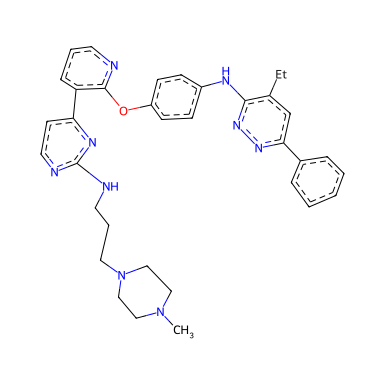 CCc1cc(-c2ccccc2)nnc1Nc1ccc(Oc2ncccc2-c2ccnc(NCCCN3CCN(C)CC3)n2)cc1